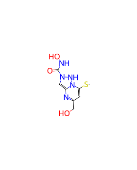 O=C(NO)N1C=C2N=C(CO)C=C([S])N2N1